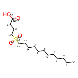 CCCCCCCCCCCCS(=O)(=O)CCCC(=O)O